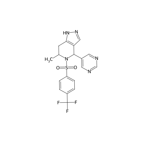 CC1Cc2[nH]ncc2C(c2cncnc2)N1S(=O)(=O)c1ccc(C(F)(F)F)cc1